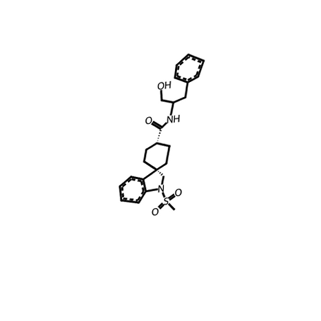 CS(=O)(=O)N1C[C@]2(CC[C@@H](C(=O)NC(CO)Cc3ccccc3)CC2)c2ccccc21